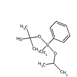 CC(C)O[Si](C)(OC(C)(C)S)c1ccccc1